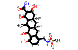 CC1=C2C(=O)c3c(O)ccc(CNS(C)(=O)=O)c3C[C@H]2C[C@H]2CC(O)=C(C(N)=O)C(=O)C12